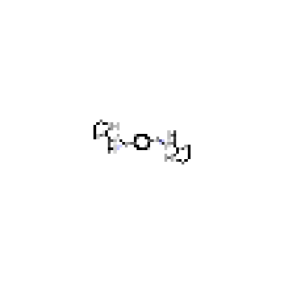 C(=N\NC1=NCCN1)/c1ccc(/C=N/NC2=NCCN2)cc1